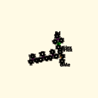 CCCCCCC1(CCCCCC)c2cc(Br)ccc2-c2ccc(-c3ccc(-c4ccc(OC)cc4)s3)cc21.[Pd].c1ccc(P(c2ccccc2)c2ccccc2)cc1.c1ccc(P(c2ccccc2)c2ccccc2)cc1.c1ccc(P(c2ccccc2)c2ccccc2)cc1.c1ccc(P(c2ccccc2)c2ccccc2)cc1